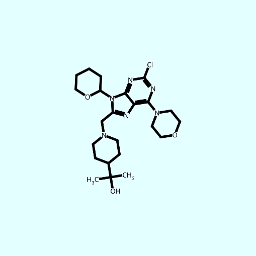 CC(C)(O)C1CCN(Cc2nc3c(N4CCOCC4)nc(Cl)nc3n2C2CCCCO2)CC1